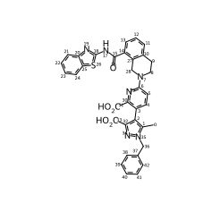 Cc1c(-c2ccc(N3CCc4cccc(C(=O)Nc5nc6ccccc6s5)c4C3)nc2C(=O)O)c(C(=O)O)nn1Cc1ccccc1